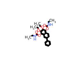 CCNC(=O)Oc1c(OCC)c(OCC)c(OC(=O)NCC)c2cc(-c3ccccc3)ccc12